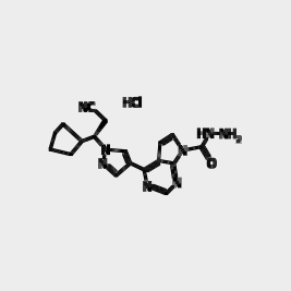 Cl.N#CC[C@H](C1CCCC1)n1cc(-c2ncnc3c2ccn3C(=O)NN)cn1